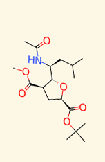 COC(=O)[C@@H]1C[C@H](C(=O)OC(C)(C)C)O[C@H]1[C@H](CC(C)C)NC(C)=O